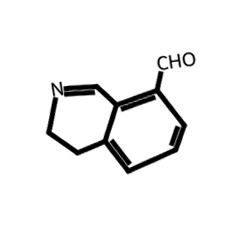 O=Cc1cccc2c1C=NCC2